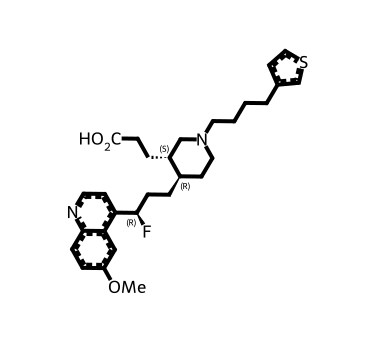 COc1ccc2nccc([C@H](F)CC[C@@H]3CCN(CCCCc4ccsc4)C[C@H]3CCC(=O)O)c2c1